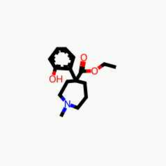 CCOC(=O)C1(c2ccccc2O)CCCN(C)CC1